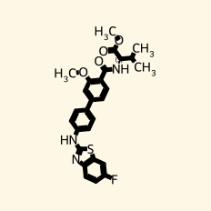 COC(=O)[C@@H](NC(=O)c1ccc(-c2ccc(Nc3nc4ccc(F)cc4s3)cc2)cc1OC)C(C)C